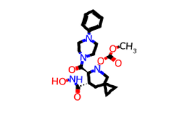 COC(=O)ON1CC2(CC2)C[C@H](C(=O)NO)[C@H]1C(=O)N1CCN(c2ccccc2)CC1